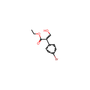 CCOC(=O)C(=CO)c1ccc(Br)cc1